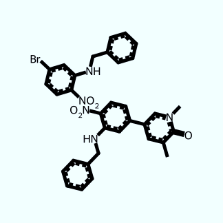 Cc1cc(-c2ccc([N+](=O)[O-])c(NCc3ccccc3)c2)cn(C)c1=O.O=[N+]([O-])c1ccc(Br)cc1NCc1ccccc1